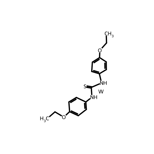 CCOc1ccc(NC(=S)Nc2ccc(OCC)cc2)cc1.[W]